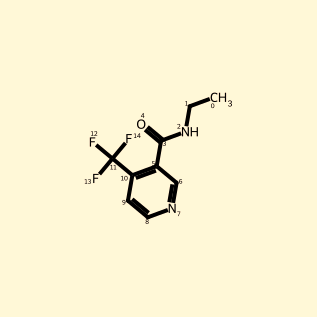 CCNC(=O)c1cnccc1C(F)(F)F